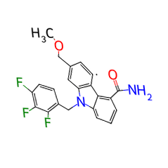 COCc1c[c]c2c3c(C(N)=O)cccc3n(Cc3ccc(F)c(F)c3F)c2c1